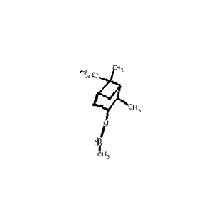 CBOC1CC2CC(C1C)C2(C)C